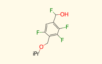 CC(C)OCc1c(F)cc(C(O)F)c(F)c1F